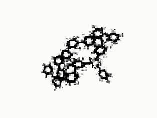 C1=CC(c2ccccc2)=CC(c2cccc(-c3cc(-c4nc(-c5ccccc5)nc(-c5ccc(-n6c7ccccc7c7ccccc76)c(-c6cccc(-c7cccc(-c8ccccc8)c7)c6)c5)n4)ccc3-n3c4ccccc4c4ccccc43)c2)C1